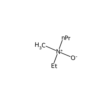 CCC[N+](C)([O-])CC